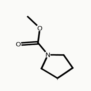 COC(=O)N1C[CH]CC1